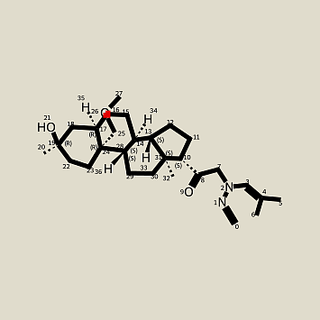 C=NN(C=C(C)C)CC(=O)[C@H]1CC[C@H]2[C@@H]3CC[C@@H]4C[C@](C)(O)CC[C@]4(COC)[C@H]3CC[C@]12C